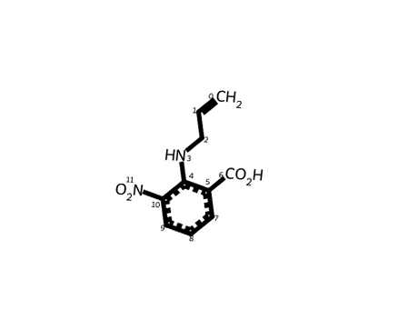 C=CCNc1c(C(=O)O)cccc1[N+](=O)[O-]